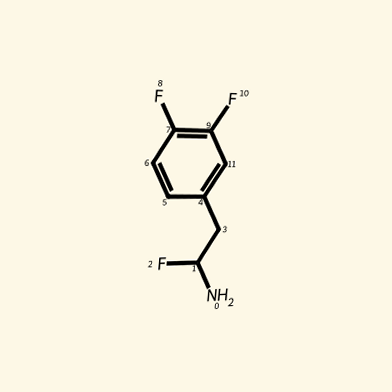 NC(F)Cc1ccc(F)c(F)c1